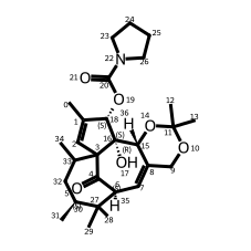 CC1=CC23C(=O)[C@@H](C=C4COC(C)(C)O[C@H]4[C@]2(O)[C@H]1OC(=O)N1CCCC1)C(C)(C)[C@@H](C)CC3C